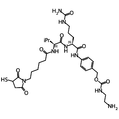 CC(C)[C@H](NC(=O)CCCCCN1C(=O)CC(S)C1=O)C(=O)N[C@@H](CCCNC(N)=O)C(=O)Nc1ccc(COC(=O)NCCN)cc1